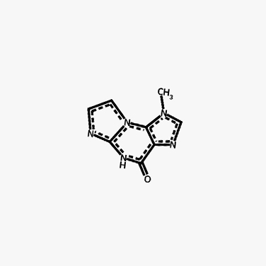 Cn1cnc2c(=O)[nH]c3nccn3c21